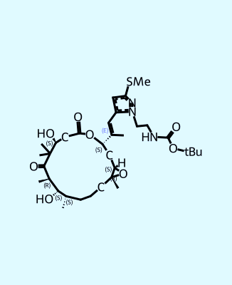 CSc1cc(/C=C(\C)[C@@H]2C[C@@H]3O[C@]3(C)CCC[C@H](C)[C@H](O)[C@@H](C)C(=O)C(C)(C)[C@@H](O)CC(=O)O2)n(CCNC(=O)OC(C)(C)C)n1